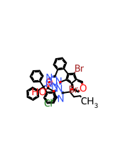 CCCC(Br)c1nc(Cl)c(C(=O)O)n1Cc1c2ccocc-2c(Br)c1-c1ccccc1-c1nnn(C(c2ccccc2)(c2ccccc2)c2ccccc2)n1